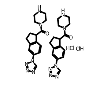 Cl.Cl.O=C(C1CCc2cc(-n3cnnn3)ccc21)N1CCNCC1.O=C(C1CCc2cc(-n3cnnn3)ccc21)N1CCNCC1